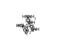 CCOC(=O)CNCCc1c(-c2ccc(C(=N)N)cc2)[nH]c2cc(C(=N)N)ccc12.Cl.Cl